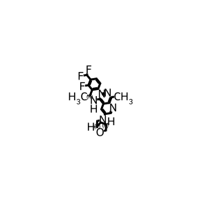 Cc1nnc(N[C@H](C)c2cccc(C(F)F)c2F)c2cc(N3C[C@H]4C[C@@H]3CO4)cnc12